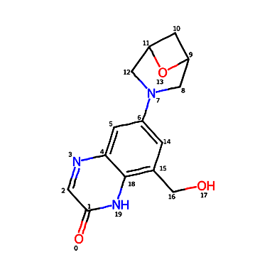 O=c1cnc2cc(N3CC4CC(C3)O4)cc(CO)c2[nH]1